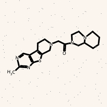 Cc1ncc2c3c(sc2n1)CN(CC(=O)N1CCN2CCCCC2C1)CC3